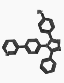 CC(C)c1ccc(-c2nnc(-c3ccccc3)n2-c2ccc(-c3cccnc3)cc2)cc1